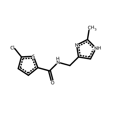 Cc1nc(CNC(=O)c2ccc(Cl)s2)c[nH]1